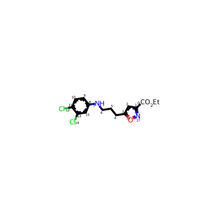 CCOC(=O)c1cc(CCCNc2ccc(Cl)c(Cl)c2)on1